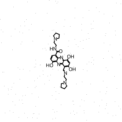 O=C(NCCN1CCCC1)c1ccc(O)c2nc3c(C=NCCN4CCCC4)c(O)cc(O)c3nc12